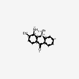 CCc1ccc2c(=O)c3ccccc3p(C(C)C)c2c1N